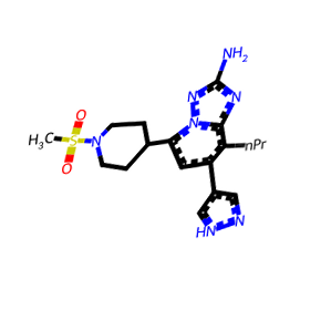 CCCc1c(-c2cn[nH]c2)cc(C2CCN(S(C)(=O)=O)CC2)n2nc(N)nc12